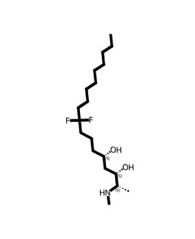 CCCCCCCCCC(F)(F)CCC[C@H](O)C[C@H](O)[C@H](C)NC